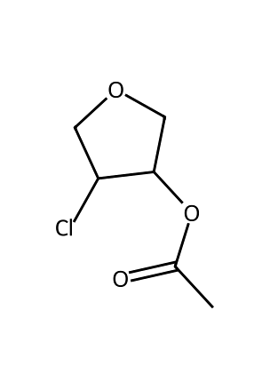 CC(=O)OC1COCC1Cl